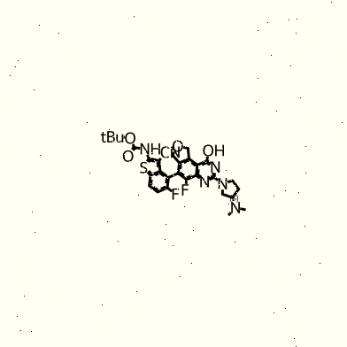 CN(C)[C@H]1CCN(c2nc(O)c3c4c(c(-c5c(F)ccc6sc(NC(=O)OC(C)(C)C)c(C#N)c56)c(F)c3n2)COC4)C1